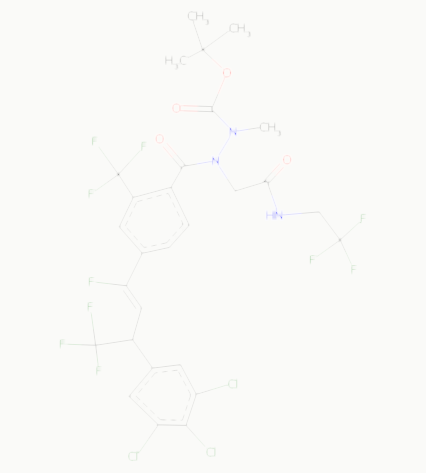 CN(C(=O)OC(C)(C)C)N(CC(=O)NCC(F)(F)F)C(=O)c1ccc(/C(F)=C/C(c2cc(Cl)c(Cl)c(Cl)c2)C(F)(F)F)cc1C(F)(F)F